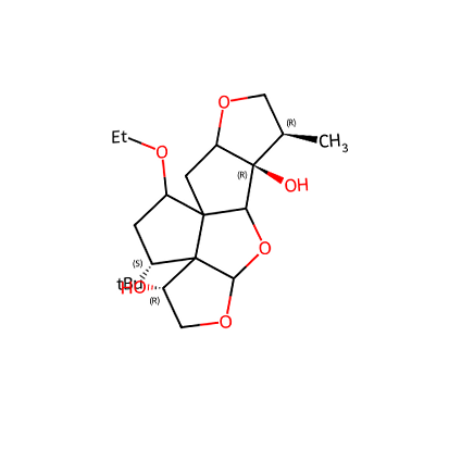 CCOC1C[C@@H](C(C)(C)C)C23C(OC[C@@H]2O)OC2C13CC1OC[C@@H](C)[C@@]12O